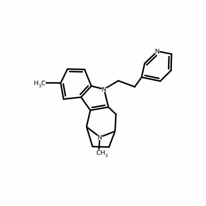 Cc1ccc2c(c1)c1c(n2CCc2cccnc2)CC2CCC1N2C